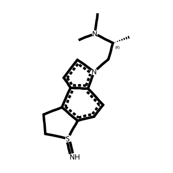 C[C@H](Cn1ccc2c3c(ccc21)S(=N)CC3)N(C)C